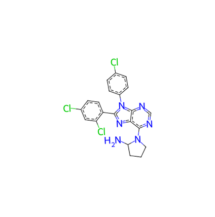 NC1CCCN1c1ncnc2c1nc(-c1ccc(Cl)cc1Cl)n2-c1ccc(Cl)cc1